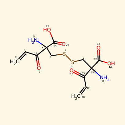 C=CC(=O)C(N)(CSSCC(N)(C(=O)O)C(=O)C=C)C(=O)O